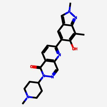 Cc1c(O)c(-c2ccc3c(=O)n(C4CCN(C)CC4)ncc3n2)cc2cn(C)nc12